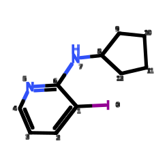 Ic1cccnc1NC1CCCC1